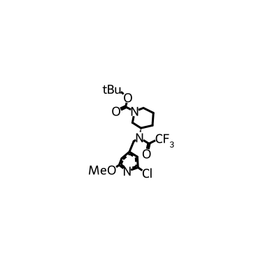 COc1cc(CN(C(=O)C(F)(F)F)[C@H]2CCCN(C(=O)OC(C)(C)C)C2)cc(Cl)n1